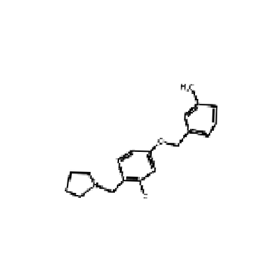 Cc1cccc(COc2ccc(CN3CCCC3)c(F)c2)c1